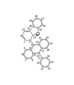 C1=CC(c2c3ccccc3c(-c3ccccc3)c3ccccc23)C2Oc3ccccc3C2=C1